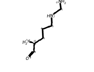 NCNCCC[C@H](N)C=O